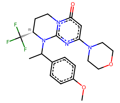 COc1ccc(C(C)N2c3nc(N4CCOCC4)cc(=O)n3CC[C@H]2C(F)(F)F)cc1